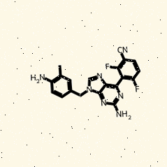 Cc1cc(Cn2cnc3c(-c4c(F)ccc(C#N)c4F)nc(N)nc32)ccc1N